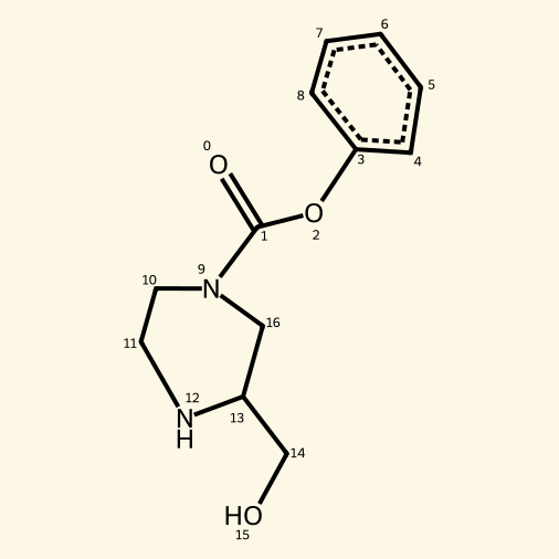 O=C(Oc1ccccc1)N1CCNC(CO)C1